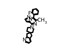 Cc1nc(N2CCC3(CC2)Cc2cccnc2C3)c2ccnn2c1-c1ccccc1F